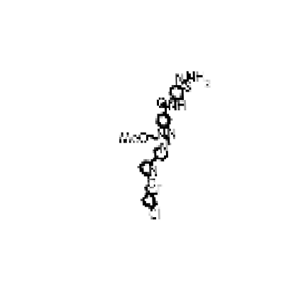 COCCn1c(CN2CCC(c3cccc(OCc4ccc(Cl)cc4F)n3)CC2)nc2cc(C(=O)N[C@@H]3CCc4nc(N)sc4C3)ccc21